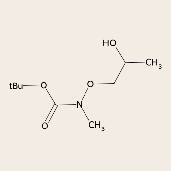 CC(O)CON(C)C(=O)OC(C)(C)C